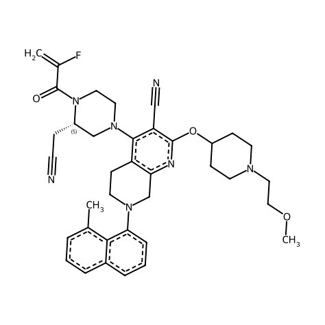 C=C(F)C(=O)N1CCN(c2c(C#N)c(OC3CCN(CCOC)CC3)nc3c2CCN(c2cccc4cccc(C)c24)C3)C[C@@H]1CC#N